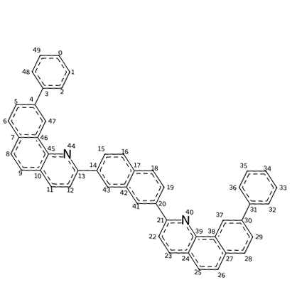 c1ccc(-c2ccc3ccc4ccc(-c5ccc6ccc(-c7ccc8ccc9ccc(-c%10ccccc%10)cc9c8n7)cc6c5)nc4c3c2)cc1